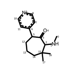 CNC1C(=O)C(c2ccncc2)CCCC1(C)C